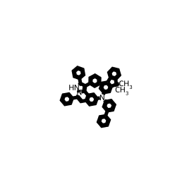 CC1(C)c2ccccc2-c2ccc(N(c3cccc(-c4ccccc4)c3)c3ccc4c(c3)C3=C(c5ccccc5)C(c5ccccc5)NN3C(c3ccccc3)=C4)cc21